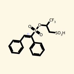 O=S(=O)(O)CC(OS(=O)(=O)/C(=C/c1ccccc1)c1ccccc1)C(F)(F)F